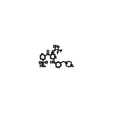 CNS(=O)(=O)c1cccc(Nc2cc(Nc3cccc(CN4CCN(C)CC4)c3)ncn2)c1.O=C(O)C(F)(F)F